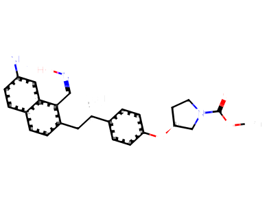 CC(C)(C)OC(=O)N1CC[C@H](Oc2ccc([C@H](Cc3ccc4ccc(N)cc4c3C=NO)C(=O)O)cc2)C1